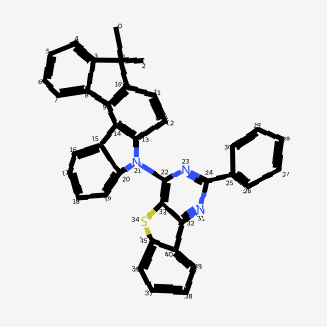 CC1(C)c2ccccc2-c2c1ccc1c2c2ccccc2n1-c1nc(-c2ccccc2)nc2c1sc1ccccc12